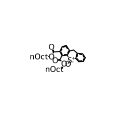 CCCCCCCCOC(=O)c1ccc2c(c1C(=O)OCCCCCCCC)[S+]([O-])c1ccccc1C2